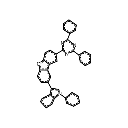 c1ccc(-c2nc(-c3ccccc3)nc(-c3ccc4oc5ccc(-c6cn(-c7ccccc7)c7ccccc67)cc5c4c3)n2)cc1